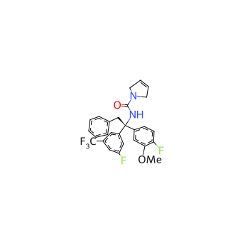 COc1cc([C@@](Cc2ccccc2)(NC(=O)N2CC=CC2)c2cc(F)cc(C(F)(F)F)c2)ccc1F